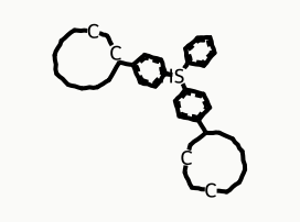 c1ccc([SH](c2ccc(C3CCCCCCCCCCC3)cc2)c2ccc(C3CCCCCCCCCCC3)cc2)cc1